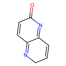 O=C1C=CC2=NCC=CC2=N1